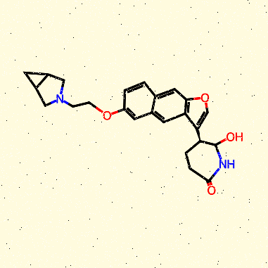 O=C1CC[C@@H](c2coc3cc4ccc(OCCN5CC6CC6C5)cc4cc23)C(O)N1